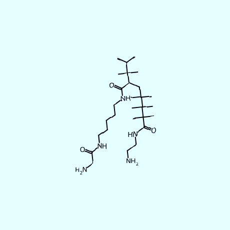 CC(C)C(C)(C)C(CC(C)(C)C(C)(C)C(C)(C)C(=O)NCCN)C(=O)NCCCCCNC(=O)CN